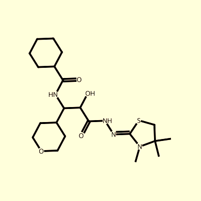 CN1/C(=N/NC(=O)C(O)C(NC(=O)C2CCCCC2)C2CCOCC2)SCC1(C)C